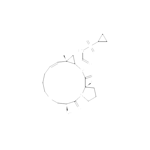 N[C@H]1COCCC/C=C\[C@@H]2C[C@@]2(C(=O)NS(=O)(=O)C2CC2)NC(=O)[C@@H]2CCCN2C1=O